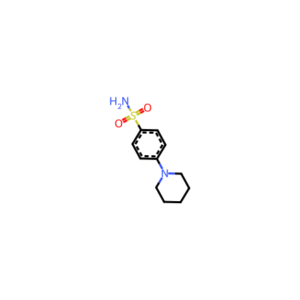 NS(=O)(=O)c1ccc(N2CCCCC2)cc1